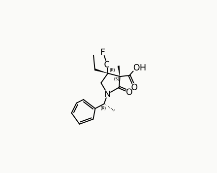 CC[C@]1(CF)CN([C@H](C)c2ccccc2)C(=O)[C@@]1(C)C(=O)O